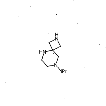 CC(C)N1CCNC2(CNC2)C1